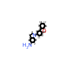 Nc1ccc2c(c1)CCN2c1ccc2oc3ccccc3c2c1